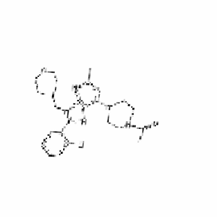 CC(=O)N1CCN(c2nc(C)nc3c2nc(-c2ccccc2Cl)n3CC2CCOCC2)CC1